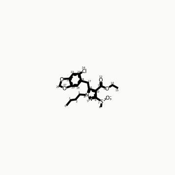 CCCCn1nc([S+](C)[O-])c(C(=O)OCC)c1Cc1cc2c(cc1Cl)OCO2